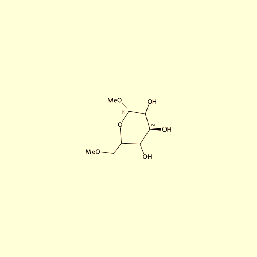 COCC1O[C@H](OC)C(O)[C@@H](O)C1O